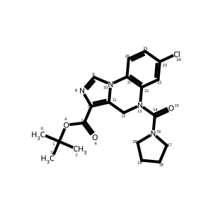 CC(C)(C)OC(=O)c1ncn2c1CN(C(=O)N1CCCC1)c1cc(Cl)ccc1-2